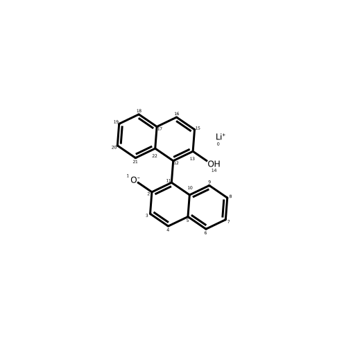 [Li+].[O-]c1ccc2ccccc2c1-c1c(O)ccc2ccccc12